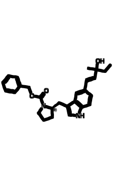 CCC(C)(O)C=Cc1ccc2[nH]cc(C[C@H]3CCCN3C(=O)OCc3ccccc3)c2c1